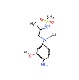 CCOc1cc(N(CC)CC(C)NS(C)(=O)=O)ccc1N